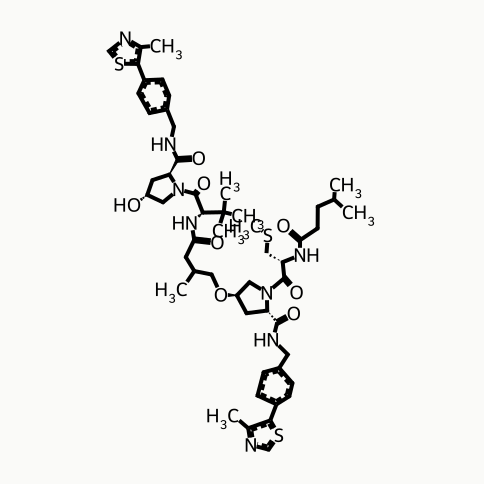 CSC[C@H](NC(=O)CCC(C)C)C(=O)N1C[C@H](OCC(C)CC(=O)N[C@H](C(=O)N2C[C@H](O)C[C@H]2C(=O)NCc2ccc(-c3scnc3C)cc2)C(C)(C)C)C[C@H]1C(=O)NCc1ccc(-c2scnc2C)cc1